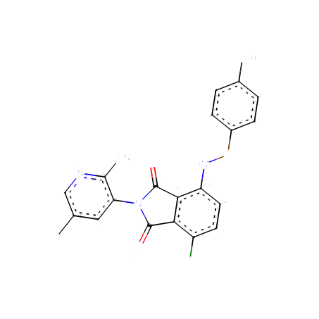 Cc1cnc(C#N)c(N2C(=O)c3c(Cl)ccc(NSc4ccc(C(C)(C)C)cc4)c3C2=O)c1